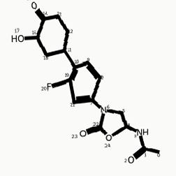 CC(=O)NC1CN(c2ccc(C3CCC(=O)C(O)C3)c(F)c2)C(=O)O1